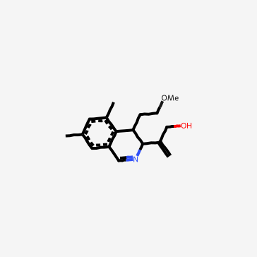 C=C(CO)C1N=Cc2cc(C)cc(C)c2C1CCOC